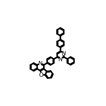 c1ccc(-c2ccc(-c3cc(-c4ccc(-c5nc6ccccc6c6oc7ccccc7c56)cc4)nc(-c4ccccc4)n3)cc2)cc1